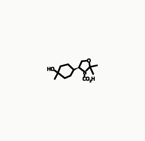 CC1(O)CCC([C@@H]2COC(C)(C)N2C(=O)O)CC1